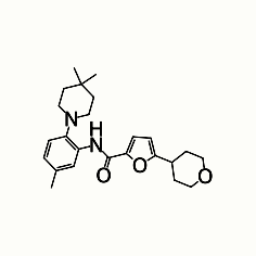 Cc1ccc(N2CCC(C)(C)CC2)c(NC(=O)c2ccc(C3CCOCC3)o2)c1